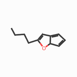 CCCCC1=[C]C2=CC=CC2O1